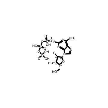 Nc1nc(F)nc2c1ncn2[C@@H]1O[C@H](CO)[C@H](O)[C@H]1F.O=P(O)(O)OP(=O)(O)OP(=O)(O)O